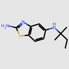 CCC(C)(C)Nc1ccc2sc(N)nc2c1